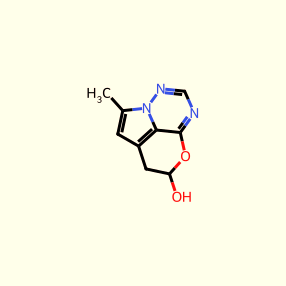 Cc1cc2c3c(ncnn13)OC(O)C2